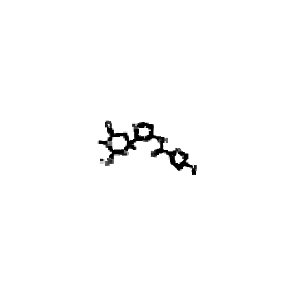 COc1ccc(C(=O)Nc2ccnc(C3(C)CC(=O)N(C)C(N)=N3)c2)nc1